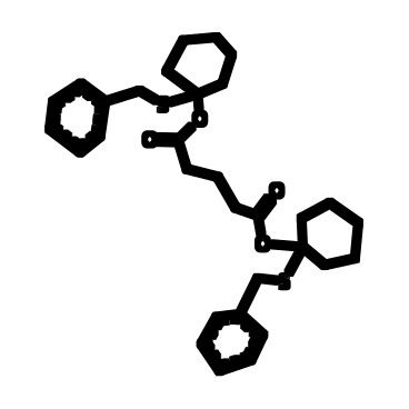 O=C(CCCC(=O)OC1(SCc2ccccc2)CCCCC1)OC1(SCc2ccccc2)CCCCC1